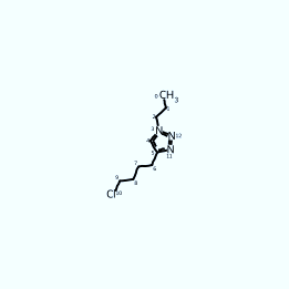 CCCn1cc(CCCCCl)nn1